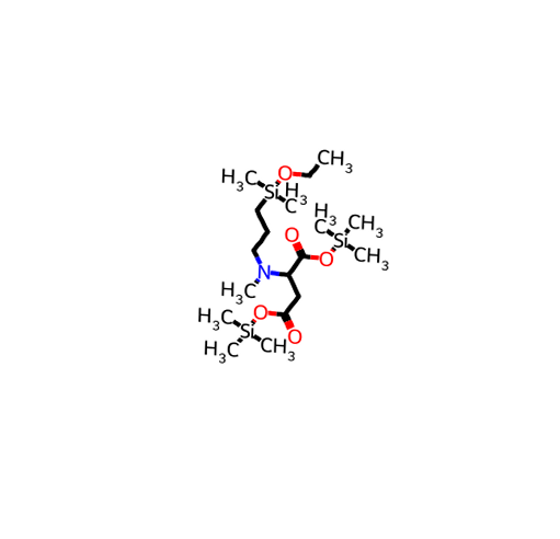 CCO[Si](C)(C)CCCN(C)C(CC(=O)O[Si](C)(C)C)C(=O)O[Si](C)(C)C